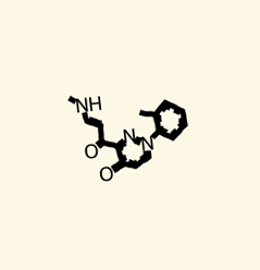 CNC=CC(=O)c1nn(-c2ccccc2C)ccc1=O